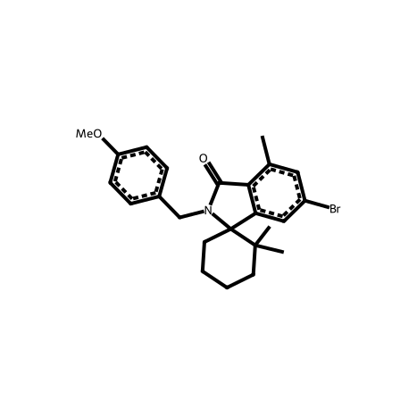 COc1ccc(CN2C(=O)c3c(C)cc(Br)cc3C23CCCCC3(C)C)cc1